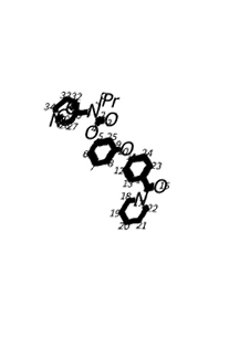 CC(C)N(C(=O)Oc1cccc(Oc2ccc(C(=O)N3CCCCC3)cc2)c1)C1CCN2CCC1CC2